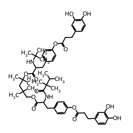 CC(C)C(C)(C)C(=O)NC(Cc1ccc(OC(=O)CCc2ccc(O)c(O)c2)cc1)C(=O)OCC(C)(C)CC(C)(C)OC(=O)C(Cc1ccc(OC(=O)CCc2ccc(O)c(O)c2)cc1)NC(C)(C)C